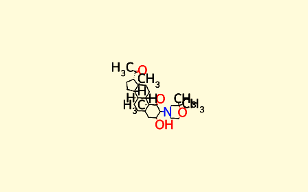 CC(=O)[C@H]1CC[C@H]2[C@@H]3CCC4CC(O)C(N5CCOC(C)(C)C5)C(=O)[C@]4(C)[C@H]3CC[C@]12C